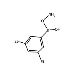 CCc1cc(CC)cc(B(O)ON)c1